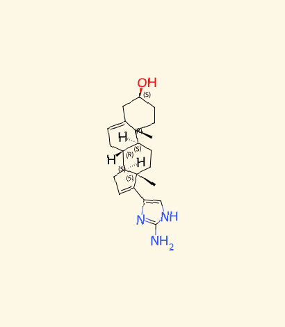 C[C@]12CC[C@H](O)CC1=CC[C@@H]1[C@@H]2CC[C@]2(C)C(c3c[nH]c(N)n3)=CC[C@@H]12